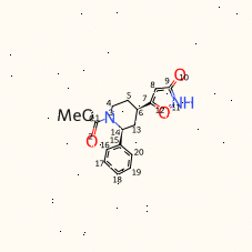 COC(=O)N1CC[C@@H](c2cc(=O)[nH]o2)C[C@H]1c1ccccc1